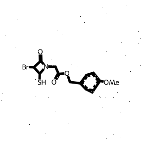 COc1ccc(COC(=O)CN2C(=O)C(Br)C2S)cc1